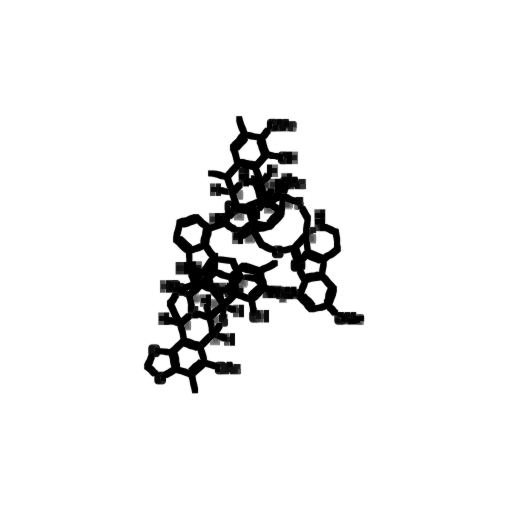 COc1ccc2oc3c(c2c1)CCN[C@]31CS[C@@H]2c3c(OC(C)=O)c(C)c4c(c3[C@H](COC1=O)N1[C@@H]2[C@@H]2N[C@@H](C(C)c3cc(C)c(OC)c(O)c32)[C@@H]1O)OC(c1cccc2[nH]c3c(c12)C[C@@H](CN)N[C@]31CS[C@@H]2c3c(OC(C)=O)c(C)c5c(c3[C@H](COC1=O)N1[C@@H]2[C@@H]2N[C@@H](C(C)c3cc(C)c(OC)c(O)c32)[C@@H]1O)OCO5)O4